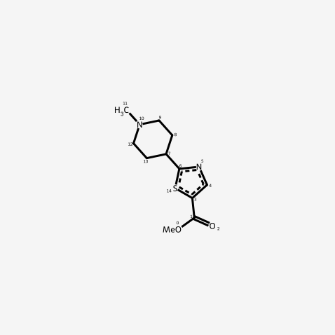 COC(=O)c1cnc(C2CCN(C)CC2)s1